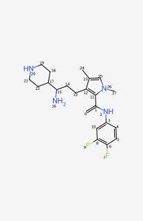 C=C(Nc1ccc(F)c(F)c1)c1c(CCC(N)C2CCNCC2)c(C)cn1C